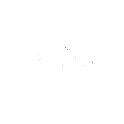 CNCC(=O)OCC[N+](C)(C)C.[Na+]